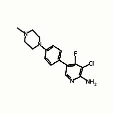 CN1CCN(c2ccc(-c3cnc(N)c(Cl)c3F)cc2)CC1